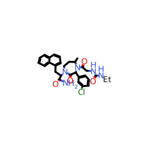 CCNC(=O)NCC(=O)N1C(C)CCN(C(Cc2cccc3ccccc23)C(N)=O)C(=O)C1c1cccc(Cl)c1